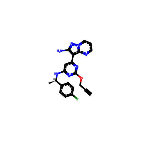 C#CCOc1nc(N[C@@H](C)c2ccc(F)cc2)cc(-c2c(N)nn3cccnc23)n1